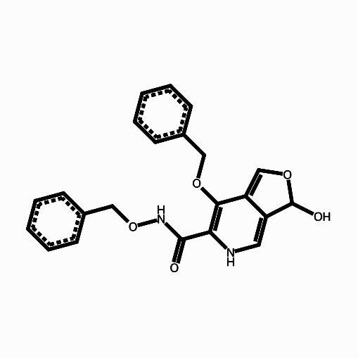 O=C(NOCc1ccccc1)C1=C(OCc2ccccc2)C2=COC(O)C2=CN1